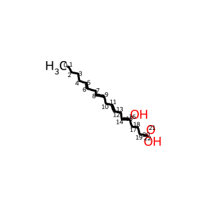 CCCCC/C=C/C/C=C/C/C=C/C/C=C(\O)CCCC(=O)O